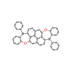 c1ccc(B2c3ccccc3Oc3cc4ccc5c6c(cc7ccc2c3c7c46)Oc2ccccc2B5c2ccccc2)cc1